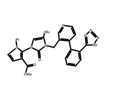 CCCCc1cn(-c2c(C(=O)OC)ccn2C(C)C)c(=O)n1Cc1cnccc1-c1ccccc1-c1nnn[nH]1